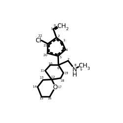 C=Cc1ccc(C2(CNC)CCC3(CCCCO3)CC2)cc1Cl